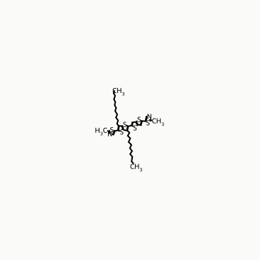 CCCCCCCCCCCCc1c(-c2cnc(C)s2)sc2c(CCCCCCCCCCCC)c(-c3cc4sc(-c5cnc(C)s5)cc4s3)sc12